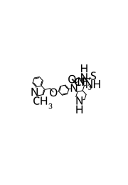 Cc1cc(COc2ccc(N(C(=O)C(F)(F)F)C3CNCCC3c3n[nH]c(=S)[nH]3)cc2)c2ccccc2n1